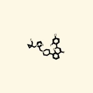 FCC1(Cn2ccnc2CN2CCC(c3cccc4c3OC(c3ccc(Cl)cc3F)C=C4F)CC2)CC1